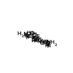 Nc1ccc(Oc2ccc(C(F)(c3ccc(Oc4ccc(N)c(C(F)(F)F)c4)cc3)C(F)(F)C(F)(F)F)cc2)cc1C(F)(F)F